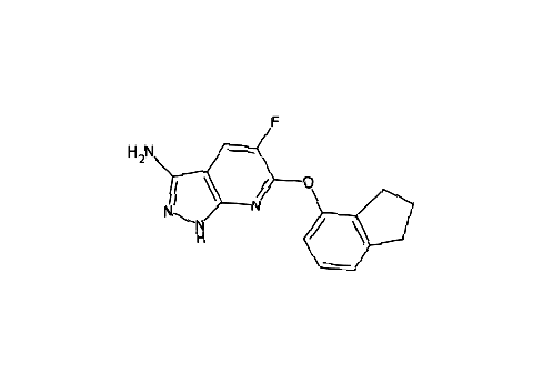 Nc1n[nH]c2nc(Oc3cccc4c3CCC4)c(F)cc12